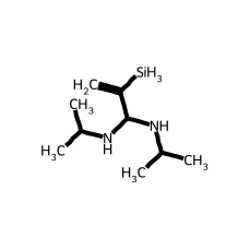 C=C([SiH3])C(NC(C)C)NC(C)C